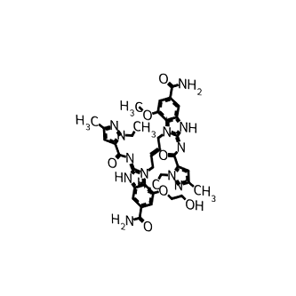 CCn1nc(C)cc1C(=O)/N=c1/[nH]c2cc(C(N)=O)cc(OC)c2n1C/C=C/Cn1/c(=N/C(=O)c2cc(C)nn2CC)[nH]c2cc(C(N)=O)cc(OCCO)c21